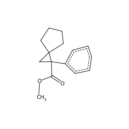 COC(=O)C1(c2ccccc2)CC12CCCC2